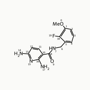 COc1cccc(CNC(=O)c2ccc(N)nc2N)c1F